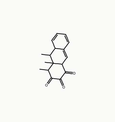 CC1C(=O)C(=O)C(=O)C2C=C3C=CC=CC3C(C)C12C